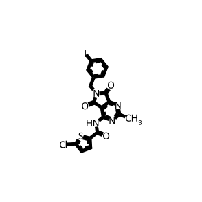 Cc1nc(NC(=O)c2ccc(Cl)s2)c2c(n1)C(=O)N(Cc1cccc(I)c1)C2=O